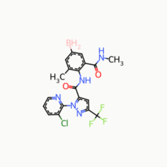 Bc1cc(C)c(NC(=O)c2cc(C(F)(F)F)nn2-c2ncccc2Cl)c(C(=O)NC)c1